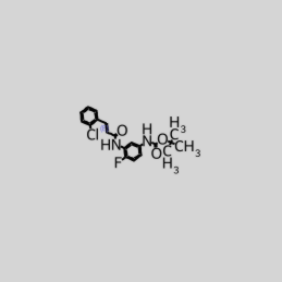 CC(C)(C)OC(=O)Nc1ccc(F)c(NC(=O)/C=C/c2ccccc2Cl)c1